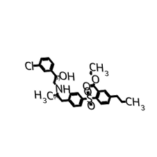 CCCc1ccc(S(=O)(=O)c2ccc(C[C@@H](C)NC[C@@H](O)c3cccc(Cl)c3)cc2)c(C(=O)OCC)c1